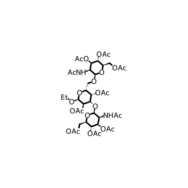 CCO[C@H]1O[C@H](CO[C@@H]2O[C@H](COC(C)=O)[C@@H](OC(C)=O)[C@H](OC(C)=O)[C@@H]2NC(C)=O)[C@H](OC(C)=O)[C@H](O[C@@H]2O[C@H](COC(C)=O)[C@@H](OC(C)=O)[C@H](OC(C)=O)[C@@H]2NC(C)=O)[C@H]1OC(C)=O